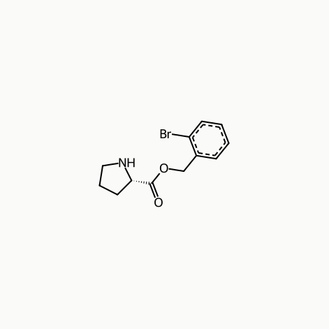 O=C(OCc1ccccc1Br)[C@@H]1CCCN1